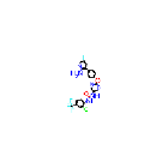 Nc1ncc(F)cc1-c1ccc(Oc2ncc(NC(=O)Nc3ccc(C(F)(F)F)cc3Cl)cn2)cc1